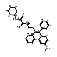 COc1ccc(C(=C(CCNC(=O)C(=O)NC2CCCCC2)c2ccccc2)c2ccccc2)cc1